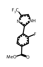 COC(=O)c1ccc(-c2nc(C(F)(F)F)c[nH]2)c(F)c1